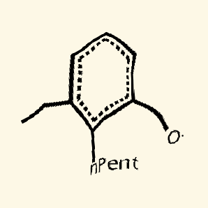 CCCCCc1c(C)cccc1[O]